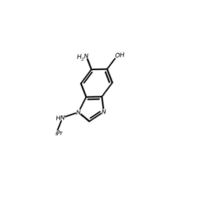 CC(C)Nn1cnc2cc(O)c(N)cc21